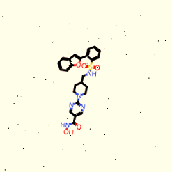 O=C(NO)c1cnc(N2CCC(CNS(=O)(=O)c3ccccc3-c3cc4ccccc4o3)CC2)nc1